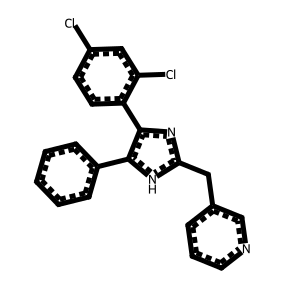 Clc1ccc(-c2nc(Cc3cccnc3)[nH]c2-c2ccccc2)c(Cl)c1